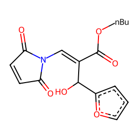 CCCCOC(=O)C(=CN1C(=O)C=CC1=O)C(O)c1ccco1